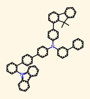 CC1(C)c2ccccc2-c2cccc(-c3ccc(N(c4ccc(-c5ccc(-c6ccccc6-n6c7ccccc7c7ccccc76)cc5)cc4)c4cccc(-c5ccccc5)c4)cc3)c21